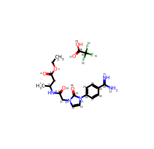 CCOC(=O)CC(C)NC(=O)Cn1ccn(-c2ccc(C(=N)N)cc2)c1=O.O=C(O)C(F)(F)F